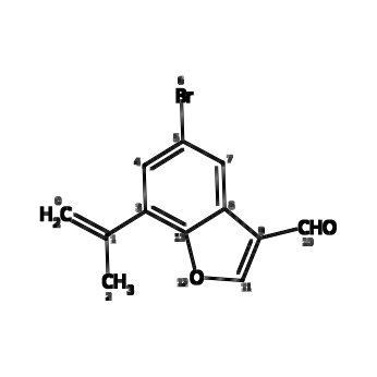 C=C(C)c1cc(Br)cc2c(C=O)coc12